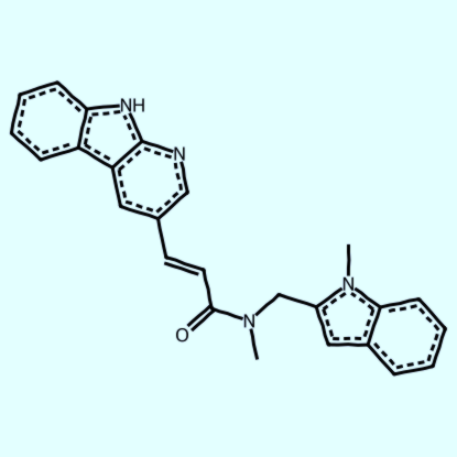 CN(Cc1cc2ccccc2n1C)C(=O)/C=C/c1cnc2[nH]c3ccccc3c2c1